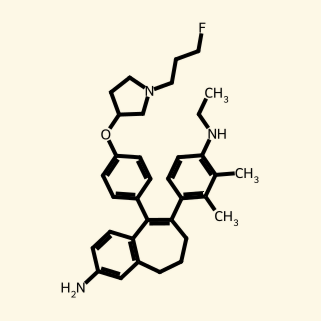 CCNc1ccc(C2=C(c3ccc(OC4CCN(CCCF)C4)cc3)c3ccc(N)cc3CCC2)c(C)c1C